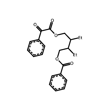 CCC(COC(=O)C(=O)c1ccccc1)C(CC)COC(=O)c1ccccc1